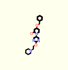 O=c1cc(OCc2ccccc2)ccn1-c1cnc(OCCN2CCCCC2)nc1